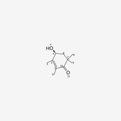 CC1=C(C)[C@@H](O)CC(C)(C)C1=O